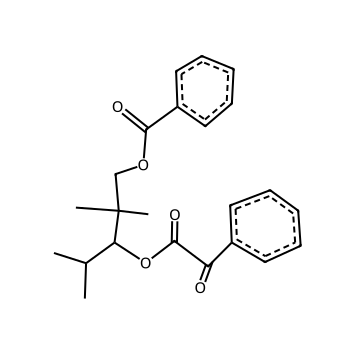 CC(C)C(OC(=O)C(=O)c1ccccc1)C(C)(C)COC(=O)c1ccccc1